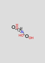 Oc1ccc(C(O)CN2CC3CC(O)(Cc4ccccc4)C[C@@H]3C2)cc1